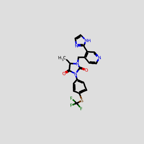 CC1C(=O)N(c2ccc(SC(F)(F)F)cc2)C(=O)N1Cc1ccncc1-c1ncc[nH]1